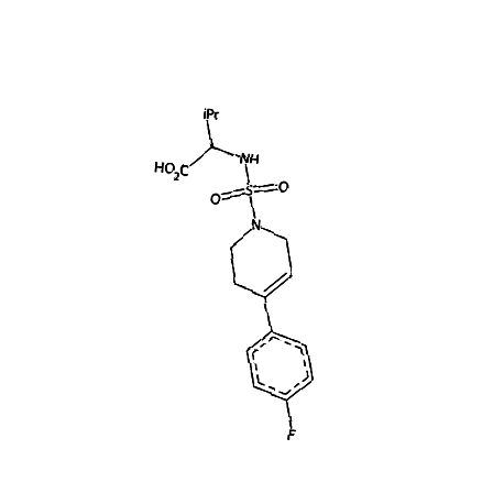 CC(C)C(NS(=O)(=O)N1CC=C(c2ccc(F)cc2)CC1)C(=O)O